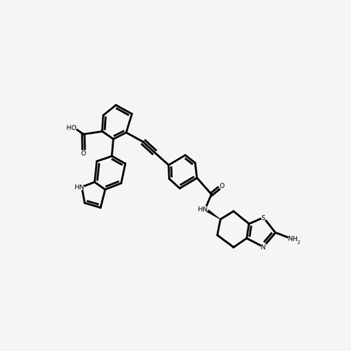 Nc1nc2c(s1)C[C@H](NC(=O)c1ccc(C#Cc3cccc(C(=O)O)c3-c3ccc4cc[nH]c4c3)cc1)CC2